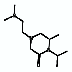 CC(C)N1C(=O)CN(CCN(C)C)CC1C